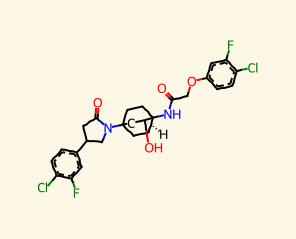 O=C(COc1ccc(Cl)c(F)c1)NC12CCC(N3CC(c4ccc(Cl)c(F)c4)CC3=O)(CC1)C[C@@H]2O